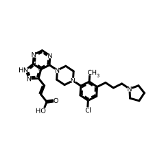 Cc1c(CCCN2CCCC2)cc(Cl)cc1N1CCN(c2ncnc3[nH]nc(C=CC(=O)O)c23)CC1